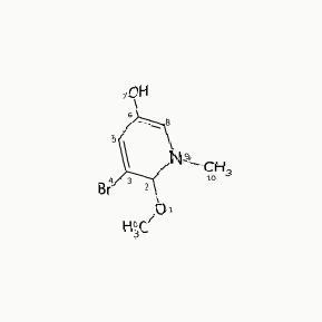 COC1C(Br)=CC(O)=CN1C